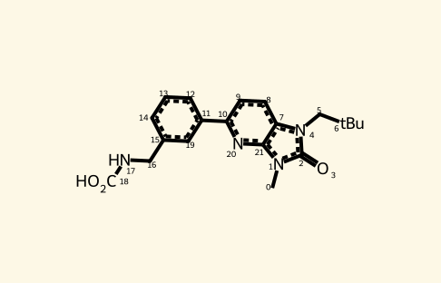 Cn1c(=O)n(CC(C)(C)C)c2ccc(-c3cccc(CNC(=O)O)c3)nc21